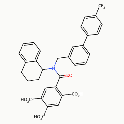 O=C(O)c1cc(C(=O)O)c(C(=O)N(Cc2cccc(-c3ccc(C(F)(F)F)cc3)c2)C2CCCc3ccccc32)cc1C(=O)O